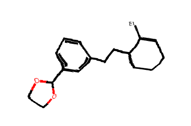 CCC1CCCCC1CCc1cccc(C2OCCO2)c1